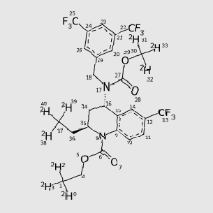 [2H]C([2H])([2H])COC(=O)N1c2ccc(C(F)(F)F)cc2[C@@H](N(Cc2cc(C(F)(F)F)cc(C(F)(F)F)c2)C(=O)OC([2H])([2H])[2H])C[C@@H]1CC([2H])([2H])[2H]